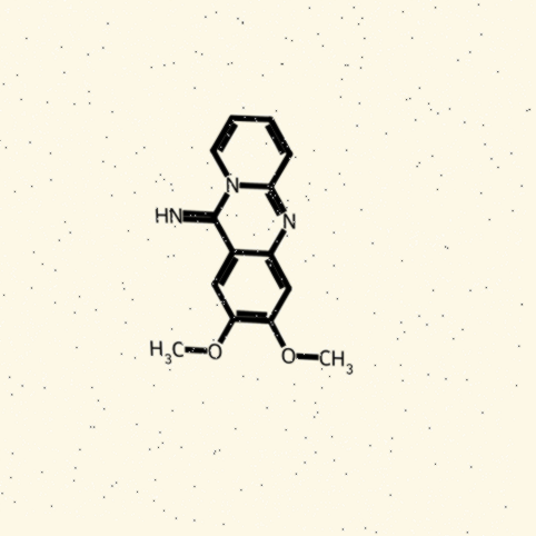 COc1cc2nc3ccccn3c(=N)c2cc1OC